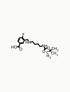 CC(C)(C)OC(=O)NCCCCNCc1cc(C(=O)O)ccc1F